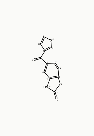 O=C1Cc2ccc(C(=O)c3ccsc3)cc2N1